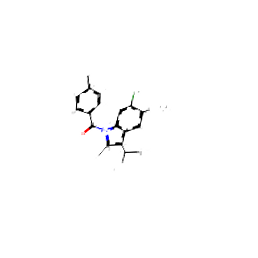 COc1cc2c(C(C(=O)O)C(C)C)c(C)n(C(=O)c3ccc(C)cc3)c2cc1Cl